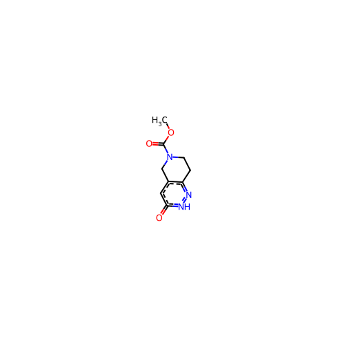 COC(=O)N1CCc2n[nH]c(=O)cc2C1